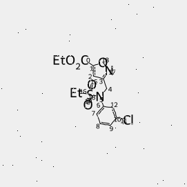 CCOC(=O)c1cc(CN(c2cccc(Cl)c2)S(=O)(=O)CC)no1